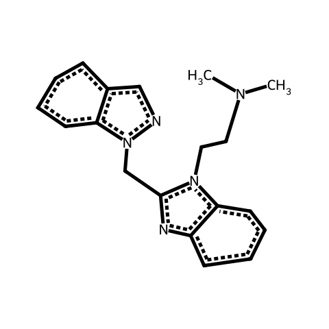 CN(C)CCn1c(Cn2ncc3ccccc32)nc2ccccc21